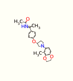 CC(=O)N[C@@H](C)c1ccc(OC2CCN(c3ccc4c(c3C)OCCO4)C2)cc1